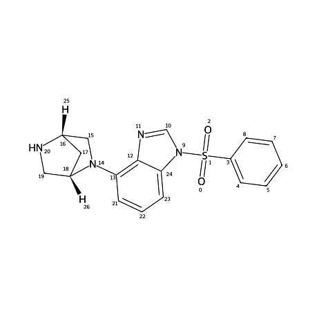 O=S(=O)(c1ccccc1)n1cnc2c(N3C[C@@H]4C[C@H]3CN4)cccc21